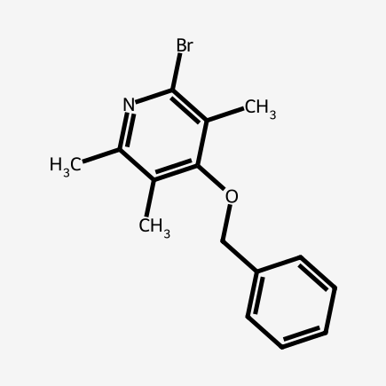 Cc1nc(Br)c(C)c(OCc2ccccc2)c1C